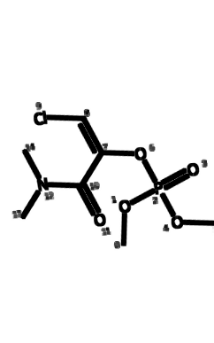 COP(=O)(OC)O/C(=C/Cl)C(=O)N(C)C